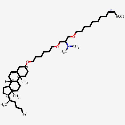 CCCCCCCC/C=C\CCCCCCCCOCC(COCCCCCCO[C@H]1CC[C@@]2(C)C(=CC[C@@H]3C2CC[C@@]2(C)C3CC[C@@H]2[C@H](C)CCCC(C)C)C1)N(C)C